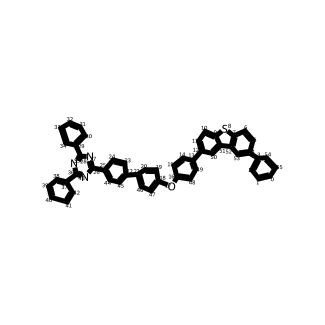 c1ccc(-c2ccc3sc4ccc(-c5ccc(Oc6ccc(-c7ccc(-c8nc(-c9ccccc9)nc(-c9ccccc9)n8)cc7)cc6)cc5)cc4c3c2)cc1